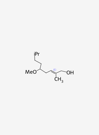 COC(C/C=C(\C)CO)CCC(C)C